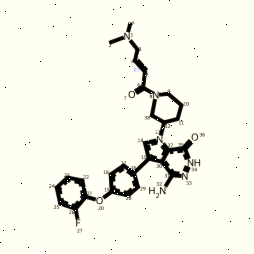 CN(C)C/C=C/C(=O)N1CCCC(n2cc(-c3ccc(Oc4ccccc4F)cc3)c3c(N)n[nH]c(=O)c32)C1